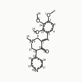 COc1ccc(C=C2CN(C)CC(c3ccncc3)C2=O)c(OC)c1OC